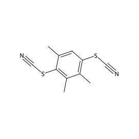 Cc1cc(SC#N)c(C)c(C)c1SC#N